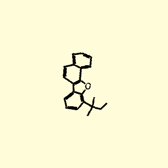 CCC(C)(C)c1cccc2c1oc1c3ccccc3ccc21